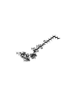 CCCC/C=C\CCCCCCCC(=O)SCCNC(=O)CCNC(=O)[C@H](O)C(C)(C)COP(=O)(O)OP(=O)(O)OC[C@H]1O[C@@H](n2cnc3c(N)ncnc32)[C@H](O)[C@@H]1OP(=O)(O)O